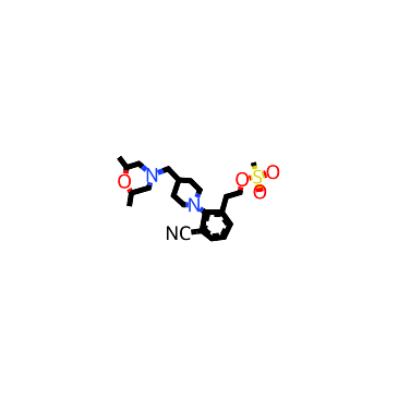 CC1CN(CC2CCN(c3c(C#N)cccc3CCOS(C)(=O)=O)CC2)CC(C)O1